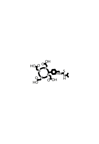 CC(C)NC(=S)NCc1ccc(C2CN(CC(=O)O)CCN(CC(=O)O)CCN(CC(=O)O)CCN2CC(=O)O)cc1